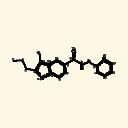 CCCc1nc2ccc(C(=O)NCc3ccccn3)cc2n1C